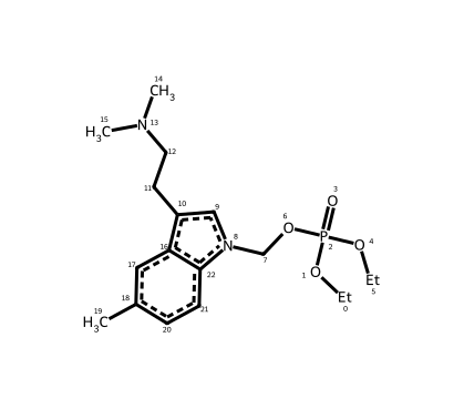 CCOP(=O)(OCC)OCn1cc(CCN(C)C)c2cc(C)ccc21